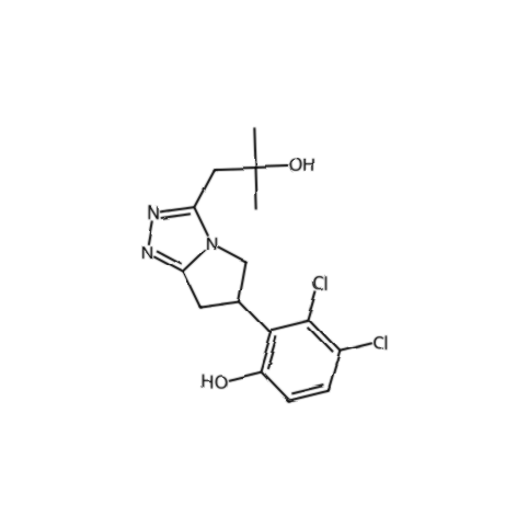 CC(C)(O)Cc1nnc2n1CC(c1c(O)ccc(Cl)c1Cl)C2